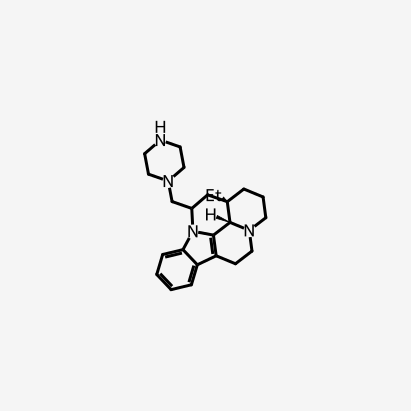 CC[C@]12CCCN3CCc4c(n(c5ccccc45)C(CN4CCNCC4)C1)[C@@H]32